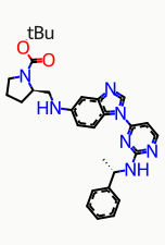 C[C@H](Nc1nccc(-n2cnc3cc(NC[C@H]4CCCN4C(=O)OC(C)(C)C)ccc32)n1)c1ccccc1